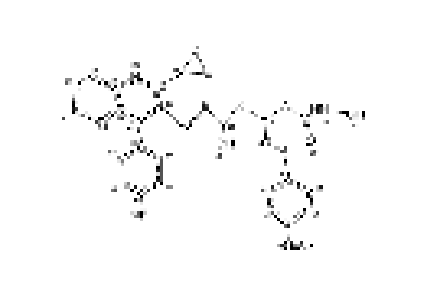 COc1ccc(COC(CC(=O)NO)CC(O)/C=C/c2c(C3CC3)nc3ccccc3c2-c2ccc(F)cc2)cc1